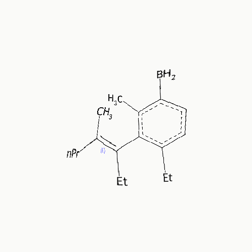 Bc1ccc(CC)c(/C(CC)=C(\C)CCC)c1C